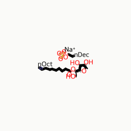 CCCCCCCC/C=C\CCCCCCCC(=O)O[C@H](CO)[C@H]1OC[C@H](O)[C@H]1O.CCCCCCCCCCCCOS(=O)(=O)[O-].[Na+]